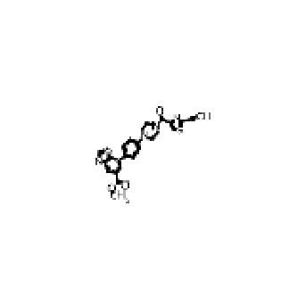 C#Cc1nc(C(=O)N2CCN(c3ccc(-c4cc(C(=O)OC)cc5ncsc45)cc3)CC2)cs1